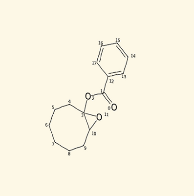 O=C(OC12CCCCCCC1O2)c1ccccc1